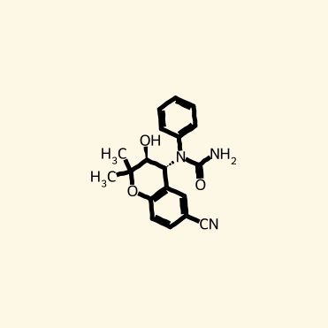 CC1(C)Oc2ccc(C#N)cc2[C@@H](N(C(N)=O)c2ccccc2)[C@@H]1O